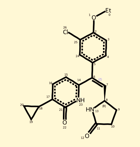 CCOc1ccc(/C(=C/[C@H]2CCC(=O)N2)c2ccc(C3CC3)c(=O)[nH]2)cc1Cl